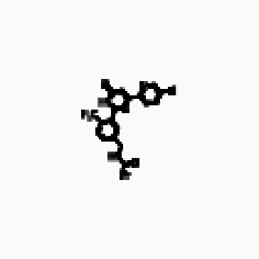 CC(C)C(=O)NCc1ccc(C(F)(F)F)c(-c2nc(-c3ccc(Cl)cn3)cc(=O)[nH]2)c1